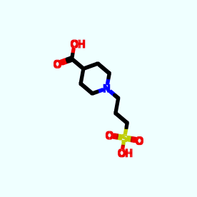 O=C(O)C1CCN(CCCS(=O)(=O)O)CC1